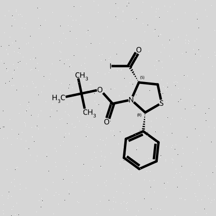 CC(C)(C)OC(=O)N1[C@@H](c2ccccc2)SC[C@H]1C(=O)I